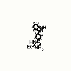 CCC(N)NC(=O)c1ccc(-c2n[nH]c3ccccc23)cc1